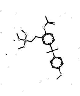 COc1ccc(C(C)(C)c2ccc(OC(C)=O)c(CC[Si](OC)(OC)OC)c2)cc1